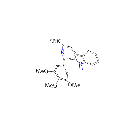 COc1cc(-c2nc(C=O)cc3c2[nH]c2ccccc23)cc(OC)c1OC